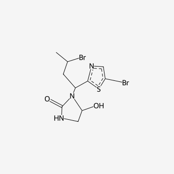 CC(Br)CC(c1ncc(Br)s1)N1C(=O)NCC1O